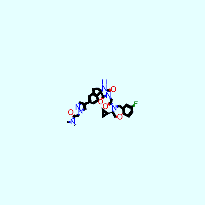 CN(C)C(=O)Cn1cc(-c2ccc3c(c2)CCC32NC(=O)N(CC(=O)N3Cc4cc(F)ccc4OC[C@H]3C3CC3)C2=O)cn1